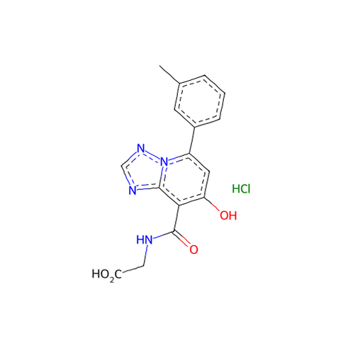 Cc1cccc(-c2cc(O)c(C(=O)NCC(=O)O)c3ncnn23)c1.Cl